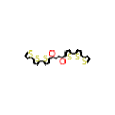 O=C(CCC(=O)c1ccc(-c2ccc(-c3cccs3)s2)s1)c1ccc(-c2ccc(-c3cccs3)s2)s1